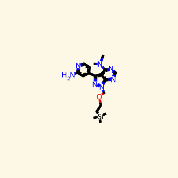 CN(C)c1ncnc2c1c(-c1ccnc(N)c1)nn2COCC[Si](C)(C)C